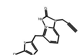 C#CCn1c(=O)[nH][n+]2c(Cc3cnc(Cl)s3)cccc12